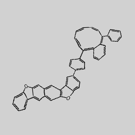 c1ccc(-c2ccccccc(-c3ccc(-c4ccc5oc6cc7cc8c(cc7cc6c5c4)oc4ccccc48)cc3)c3ccccc23)cc1